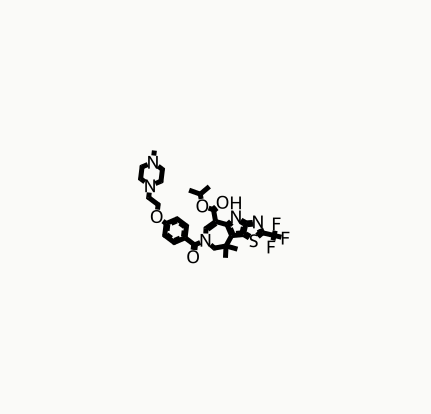 CC(C)OC(=O)C1=CN(C(=O)c2ccc(OCCN3CCN(C)CC3)cc2)CC(C)(C)c2c1[nH]c1nc(C(F)(F)F)sc21